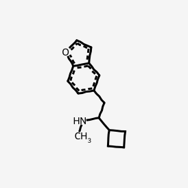 CNC(Cc1ccc2occc2c1)C1CCC1